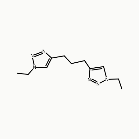 CCn1cc(CCCc2cn(CC)nn2)nn1